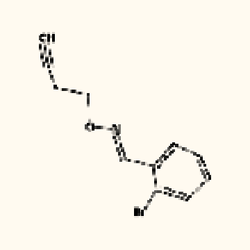 C#CCCON=[C]c1ccccc1Br